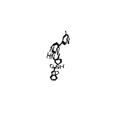 Cc1cncc(-c2ccnc(Nc3cc(NC(=O)c4cc5ccccc5o4)ccc3C)n2)c1